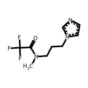 CN(CCCn1ccnc1)C(=O)C(F)(F)F